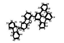 c1cc(-c2cc3c4ccccc4c4cccc5c6ccccc6c(c2)c3c45)c2oc3ccc(-n4c5ccccc5c5ccccc54)cc3c2c1